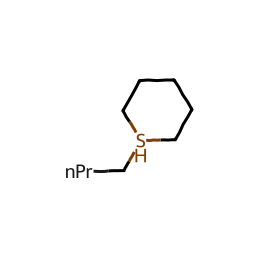 CCCC[SH]1CCCCC1